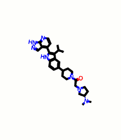 CC(C)c1c(-c2ccnc3[nH]ncc23)[nH]c2ccc(C3CCN(C(=O)CN4CC[C@H](N(C)C)C4)CC3)cc12